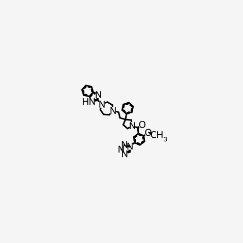 COc1ccc(-n2cnnn2)cc1C(=O)N1CCC(CCN2CCCN(c3nc4ccccc4[nH]3)CC2)(c2ccccc2)C1